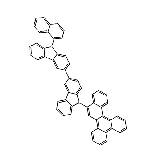 c1ccc2c(-n3c4ccccc4c4cc(-c5ccc6c(c5)c5ccccc5n6-c5cc6c7ccccc7c7ccccc7c6c6ccccc56)ccc43)cccc2c1